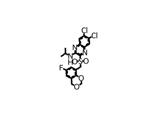 CC(C)Nc1nc2cc(Cl)c(Cl)cc2nc1S(=O)(=O)Cc1cc(F)cc2c1OCOC2